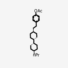 CCC[C@H]1CC[C@H]([C@H]2CC[C@H](CCc3ccc(OC(C)=O)cc3)CC2)CC1